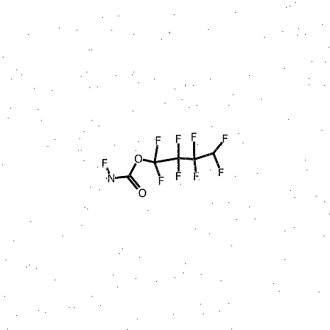 O=C([N]F)OC(F)(F)C(F)(F)C(F)(F)C(F)F